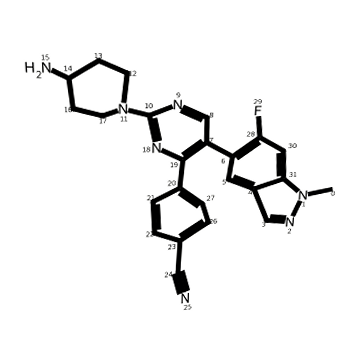 Cn1ncc2cc(-c3cnc(N4CCC(N)CC4)nc3-c3ccc(C#N)cc3)c(F)cc21